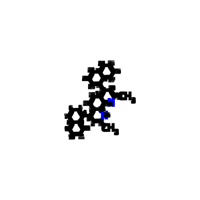 Cc1cc(-c2cccc3ccccc23)c2ccc3c(-c4cccc5ccccc45)cc(C)nc3c2n1